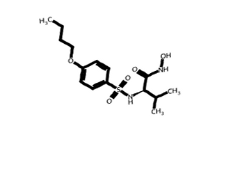 CCCCOc1ccc(S(=O)(=O)N[C@@H](C(=O)NO)C(C)C)cc1